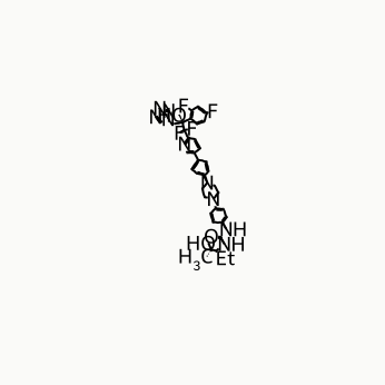 CC[C@H](NC(=O)Nc1ccc(N2CCN(c3ccc(-c4ccc(C(F)(F)[C@](O)(Cn5cnnn5)c5ccc(F)cc5F)nc4)cc3)CC2)cc1)[C@H](C)O